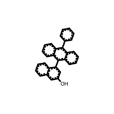 Oc1cc(-c2c3ccccc3c(-c3ccccc3)c3ccccc23)c2ccccc2c1